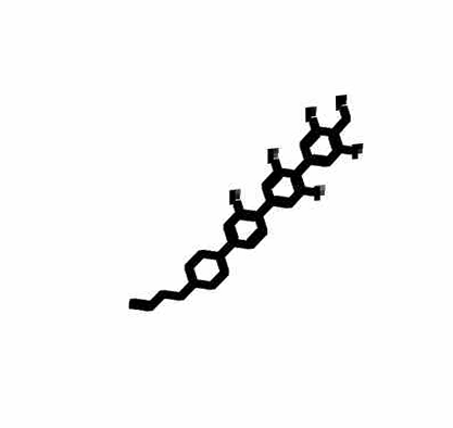 C=CCCC1CCC(c2ccc(-c3cc(F)c(-c4cc(F)c(CF)c(F)c4)c(F)c3)c(F)c2)CC1